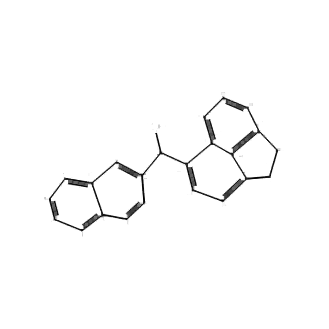 OC(c1ccc2ccccc2c1)c1ccc2c3c(cccc13)CC2